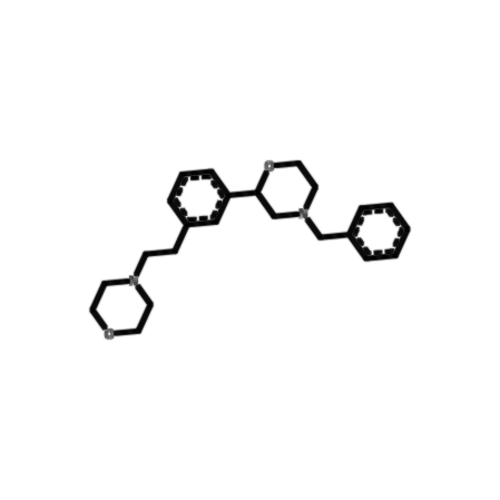 c1ccc(CN2CCOC(c3cccc(CCN4CCOCC4)c3)C2)cc1